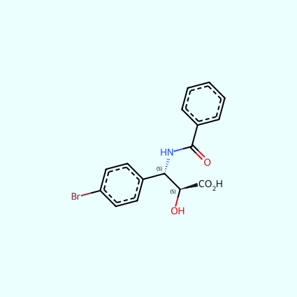 O=C(N[C@@H](c1ccc(Br)cc1)[C@H](O)C(=O)O)c1ccccc1